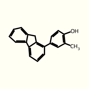 Cc1cc(-c2cccc3c2Cc2ccccc2-3)ccc1O